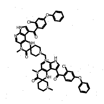 CN1CCCC2(C1)Nc1c(c[n+](CN3CCC4(CC3)Nc3c(cnc5[nH]cc(C(=O)c6ccc(Oc7ccccc7)cc6Cl)c35)N(C)C4=O)c3[nH]cc(C(=O)c4ccc(Oc5ccccc5)cc4Cl)c13)N(C)C2=O